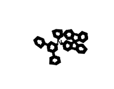 c1ccc(-c2cc(-c3ccccc3)cc(N(c3ccccc3)c3ccc4c(c3)C3(c5ccccc5-c5ccccc53)c3ccccc3-4)c2)cc1